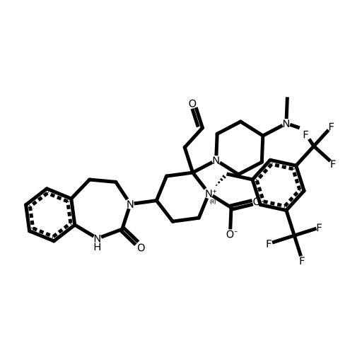 CN(C)C1CCN(C2(CC=O)CC(N3CCc4ccccc4NC3=O)CC[N@+]2(Cc2cc(C(F)(F)F)cc(C(F)(F)F)c2)C(=O)[O-])CC1